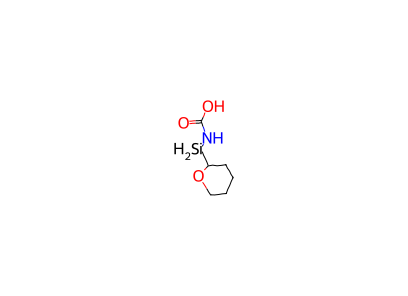 O=C(O)N[SiH2]C1CCCCO1